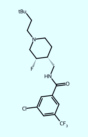 CC(C)(C)CCN1CC[C@H](CNC(=O)c2cc(Cl)cc(C(F)(F)F)c2)[C@H](F)C1